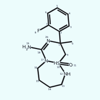 CC1(c2ccccc2F)C[SH]2(=O)NCCCCN2C(N)=N1